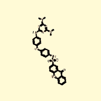 CN(C)c1nc(Nc2ccc(Nc3ccc(NS(=O)(=O)c4ccc5[nH]c6ccccc6c(=O)c5c4)cc3)cc2)nc(N(C)C)n1